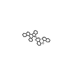 c1ccc2c3c(ccc2c1)-c1nc(-n2c4ccccc4c4c5ccc6ccccc6c5c5ccccc5c42)nc2cccc(c12)O3